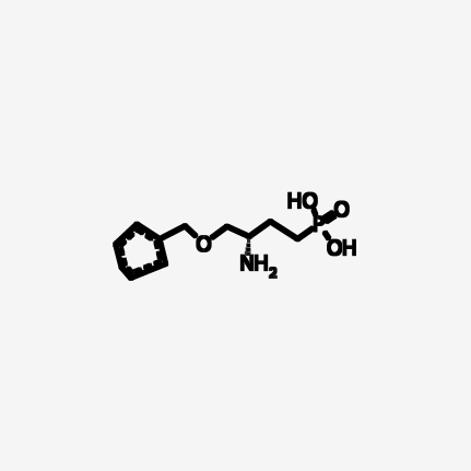 N[C@@H](CCP(=O)(O)O)COCc1ccccc1